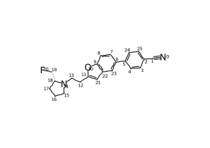 N#Cc1ccc(-c2ccc3oc(CCN4CCC[C@@H]4CF)cc3c2)cc1